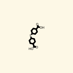 O=C(O)C1CCC(SC2CCC(C(=O)O)CC2)CC1